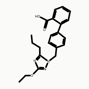 CCCc1nc(OCC)nn1Cc1ccc(-c2ccccc2C(=O)O)cc1